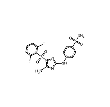 Nc1nc(Nc2ccc(S(N)(=O)=O)cc2)nn1S(=O)(=O)c1c(F)cccc1F